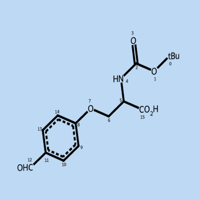 CC(C)(C)OC(=O)NC(COc1ccc(C=O)cc1)C(=O)O